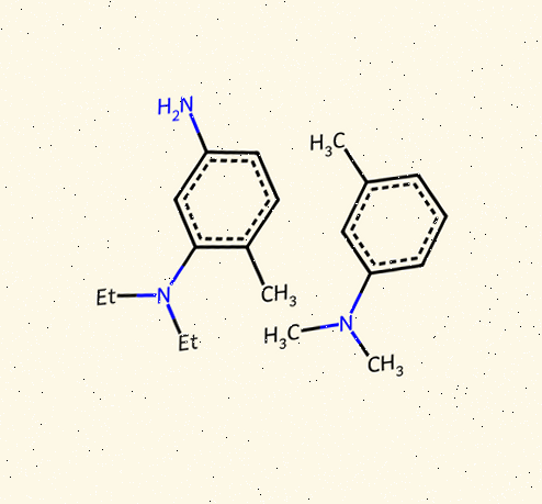 CCN(CC)c1cc(N)ccc1C.Cc1cccc(N(C)C)c1